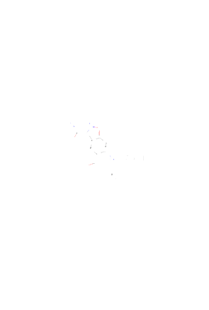 C[C@@H]1CN(c2c(C=O)cc3c(C(N)=O)noc3c2F)C[C@H](C)O1